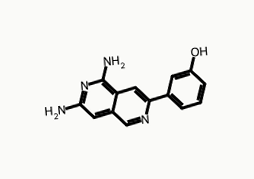 Nc1cc2cnc(-c3cccc(O)c3)cc2c(N)n1